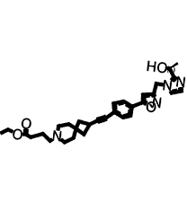 CCOC(=O)CCCN1CCC2(CC1)CC(C#Cc1ccc(-c3cc(Cn4ccnc4[C@H](C)O)no3)cc1)C2